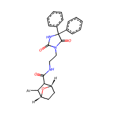 CC(=O)C1C(C(=O)NCCN2C(=O)NC(c3ccccc3)(c3ccccc3)C2=O)[C@@H]2CC[C@H]1O2